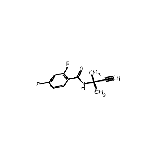 C#CC(C)(C)NC(=O)c1ccc(F)cc1F